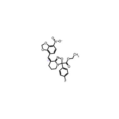 CCOC(=O)C1(c2ccc(F)cc2)ON=C2/C(=C\c3ccc([N+](=O)[O-])c4c3OCO4)CCCN21